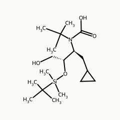 CC(C)(C)N(C(=O)O)[C@@H](CC1CC1)[C@@H](CO)O[Si](C)(C)C(C)(C)C